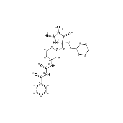 CN1C(=N)N[C@](CCC2CCCCC2)(C[C@H]2CCCC(NC(=O)NC(=O)c3ccccc3)C2)C1=O